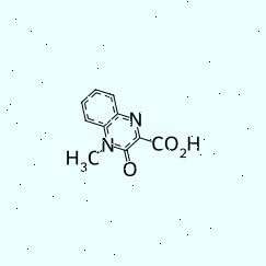 Cn1c(=O)c(C(=O)O)nc2ccccc21